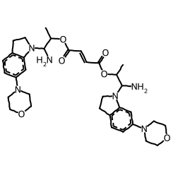 CC(OC(=O)/C=C/C(=O)OC(C)C(N)N1CCc2ccc(N3CCOCC3)cc21)C(N)N1CCc2ccc(N3CCOCC3)cc21